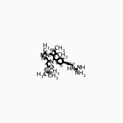 Cc1sc2c(c1C)C(c1ccc(C#CCNC(=N)N)cc1)=NC(CC(=O)OC(C)(C)C)c1nnc(C)n1-2